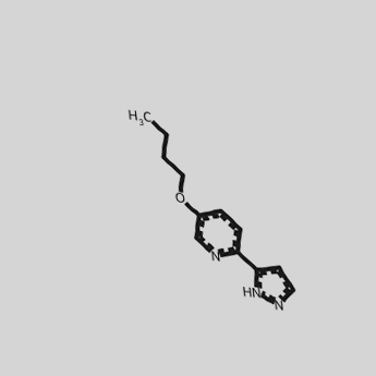 CCCCOc1ccc(-c2ccn[nH]2)nc1